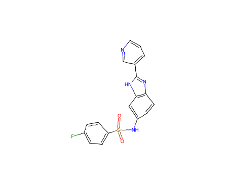 O=S(=O)(Nc1ccc2nc(-c3cccnc3)[nH]c2c1)c1ccc(F)cc1